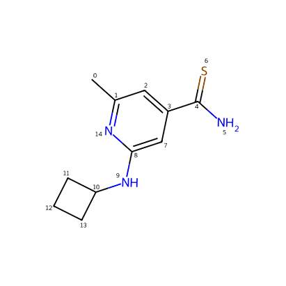 Cc1cc(C(N)=S)cc(NC2CCC2)n1